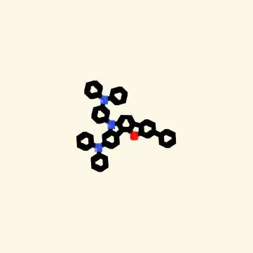 c1ccc(-c2ccc3c(c2)oc2c3ccc3c2c2ccc(N(c4ccccc4)c4ccccc4)cc2n3-c2cccc(N(c3ccccc3)c3ccccc3)c2)cc1